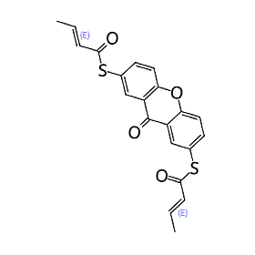 C/C=C/C(=O)Sc1ccc2oc3ccc(SC(=O)/C=C/C)cc3c(=O)c2c1